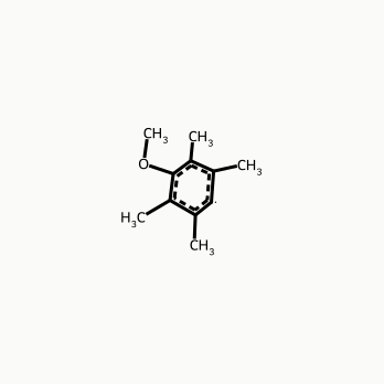 COc1c(C)c(C)[c]c(C)c1C